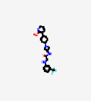 O=C(CNc1cccc(C(F)(F)F)c1)NC1CN(C2CCC(c3cccnc3O)CC2)C1